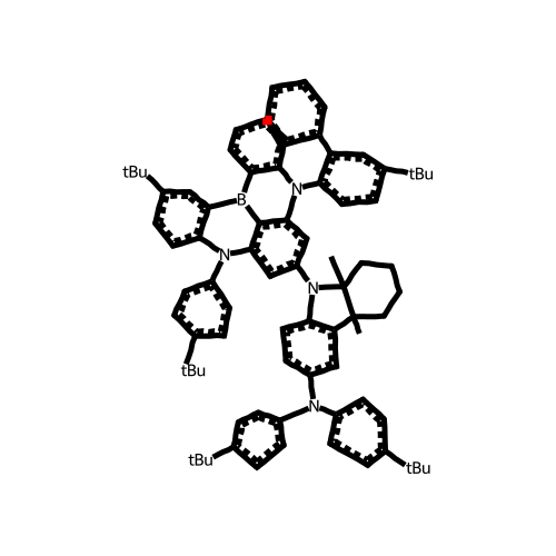 CC(C)(C)c1ccc(N(c2ccc(C(C)(C)C)cc2)c2ccc3c(c2)C2(C)CCCCC2(C)N3c2cc3c4c(c2)N(c2ccc(C(C)(C)C)cc2-c2ccccc2)c2ccccc2B4c2cc(C(C)(C)C)ccc2N3c2ccc(C(C)(C)C)cc2)cc1